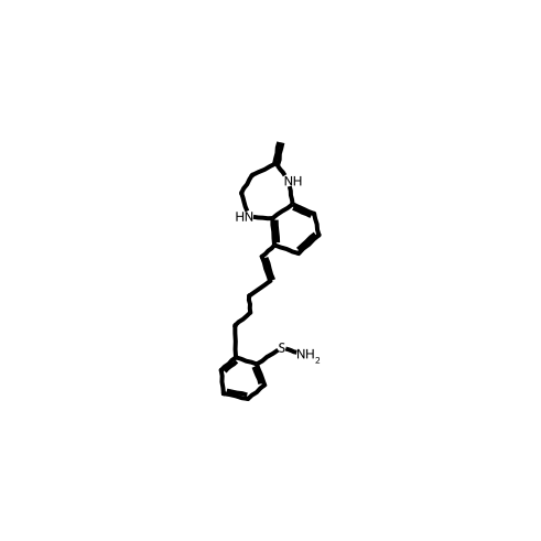 C=C1CCNc2c(/C=C/CCCc3ccccc3SN)cccc2N1